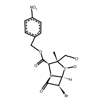 C[C@]1(CCl)[C@H](C(=O)OCc2ccc([N+](=O)[O-])cc2)N2C(=O)[C@H](Br)[C@@H]2[S+]1[O-]